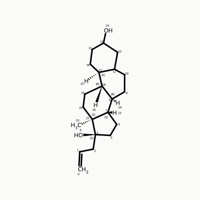 C=CC[C@@]1(O)CC[C@H]2[C@@H]3CCC4CC(O)CC[C@@H]4[C@H]3CC[C@@]21C